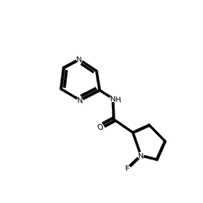 O=C(Nc1cnccn1)C1CCCN1F